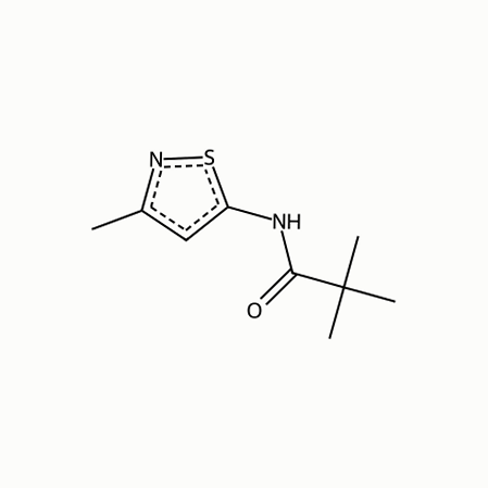 Cc1cc(NC(=O)C(C)(C)C)sn1